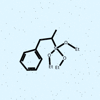 CCO[Si](OCC)(OCC)C(C)Cc1ccccc1